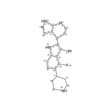 CC(C)c1c(-c2ccnc3[nH]ncc23)[nH]c2ccc(C3CCNCC3)c(F)c12